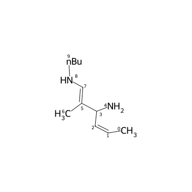 C/C=C\C(N)/C(C)=C/NCCCC